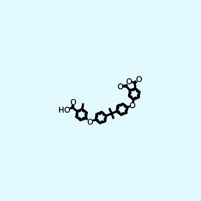 Cc1cc(Oc2ccc(C(C)(C)c3ccc(Oc4ccc5c(c4)C(=O)OC5=O)cc3)cc2)ccc1C(=O)O